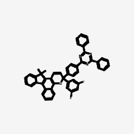 CC1(C)c2ccccc2-c2c1c1c(c3ccccc23)OC(c2ccc(-c3nc(-c4ccccc4)nc(-c4ccccc4)n3)cc2)(c2cc(F)cc(F)c2)C=C1